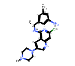 CCN1CCN(c2cnc3cc(Cl)nc(N[C@H](C)c4cc(N)cc(C(F)(F)F)c4)c3c2)CC1